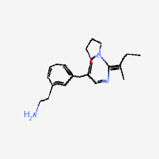 C\C=C(/C=N\C(=C(/C)CC)N1CCCC1)c1cccc(CCN)c1